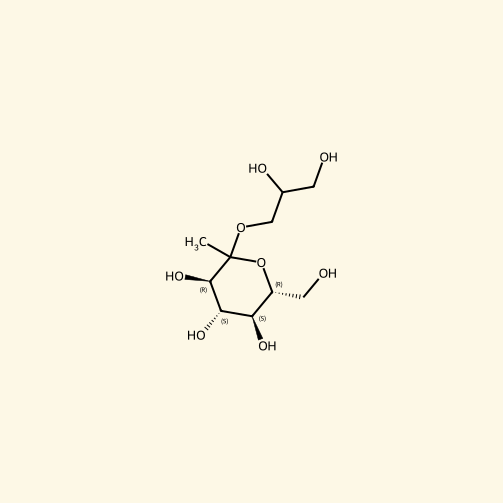 CC1(OCC(O)CO)O[C@H](CO)[C@@H](O)[C@H](O)[C@H]1O